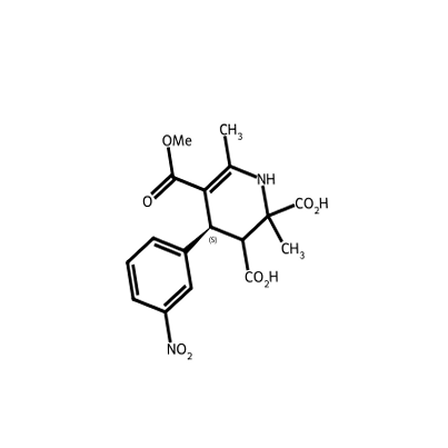 COC(=O)C1=C(C)NC(C)(C(=O)O)C(C(=O)O)[C@H]1c1cccc([N+](=O)[O-])c1